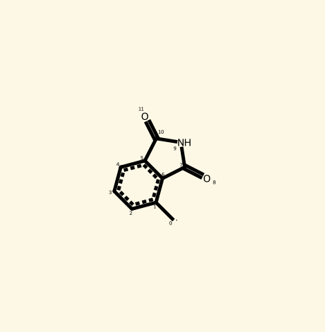 [CH2]c1cccc2c1C(=O)NC2=O